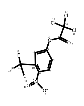 O=C(Oc1ccc([N+](=O)[O-])c(C(F)(F)F)c1)C(Cl)(Cl)Cl